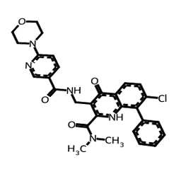 CN(C)C(=O)c1[nH]c2c(-c3ccccc3)c(Cl)ccc2c(=O)c1CNC(=O)c1ccc(N2CCOCC2)nc1